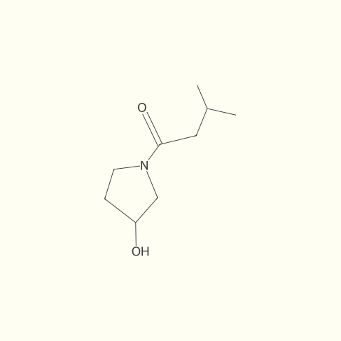 CC(C)CC(=O)N1CCC(O)C1